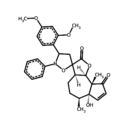 COc1ccc(C2CC3(ON2c2ccccc2)C(=O)O[C@@H]2[C@H]3CC[C@H](C)[C@]3(O)C=CC(=O)[C@@]23C)c(OC)c1